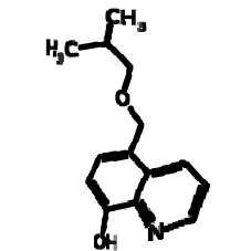 CC(C)COCc1ccc(O)c2ncccc12